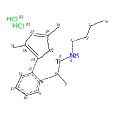 CCCC[NH][Ti][CH](C)c1ccccc1C1=C(C)C=C(C)C1.Cl.Cl